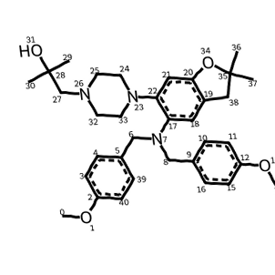 COc1ccc(CN(Cc2ccc(OC)cc2)c2cc3c(cc2N2CCN(CC(C)(C)O)CC2)OC(C)(C)C3)cc1